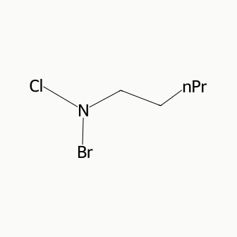 CCCCCN(Cl)Br